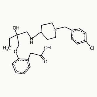 CCC(O)(CNC1CCN(Cc2ccc(Cl)cc2)CC1)COc1ccccc1CC(=O)O